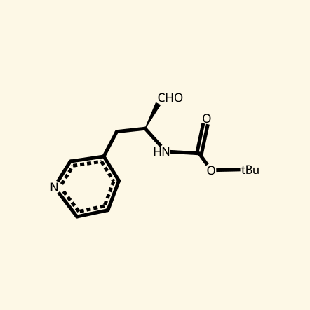 CC(C)(C)OC(=O)N[C@H](C=O)Cc1cccnc1